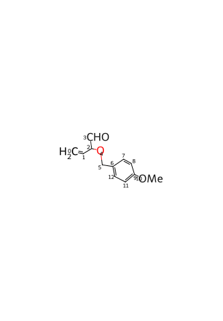 C=CC(C=O)OCc1ccc(OC)cc1